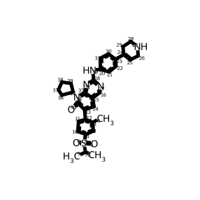 Cc1cc(S(=O)(=O)C(C)C)ccc1-c1cc2cnc(Nc3ccc(C4=CCNCC4)cc3)nc2n(C2CCCC2)c1=O